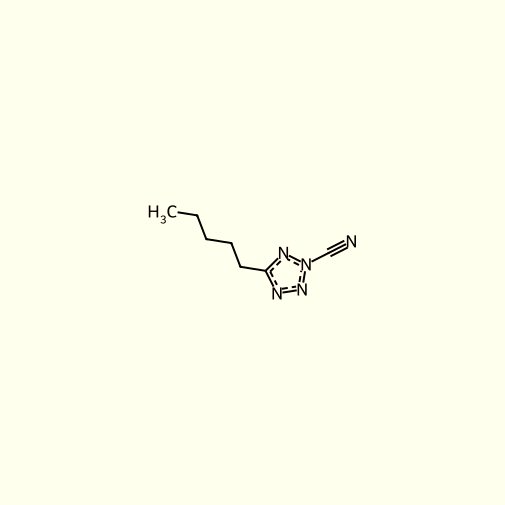 CCCCCc1nnn(C#N)n1